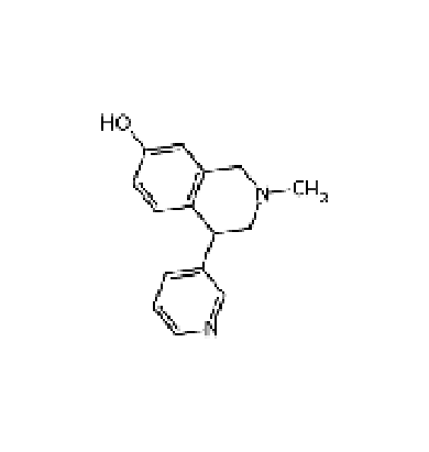 CN1Cc2cc(O)ccc2C(c2cccnc2)C1